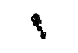 C[C@@H]1CCC2CCCC[C@H](NC(=O)CCc3ccc(CCC(=O)OC(C)(C)C)cc3)C(=O)N21